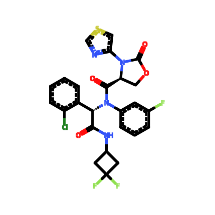 O=C(NC1CC(F)(F)C1)[C@H](c1ccccc1Cl)N(C(=O)[C@@H]1COC(=O)N1c1cscn1)c1cccc(F)c1